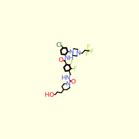 O=C(Nc1ccc(Cl)cc1N1CCN(CCC(F)(F)F)CC1)c1ccc(CNC(=O)N2CCC(CCCO)CC2)c(F)c1F